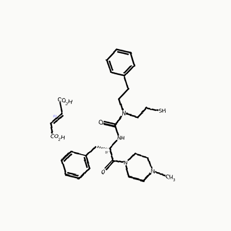 CN1CCN(C(=O)[C@H](Cc2ccccc2)NC(=O)N(CCS)CCc2ccccc2)CC1.O=C(O)/C=C/C(=O)O